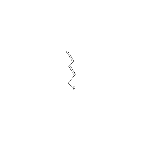 [CH]=CC=CCF